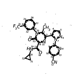 Cc1c(-c2ccnn2-c2ccc(C#N)cn2)nc(C(=O)NC2CC2)c(=O)n1-c1cccc(C(F)(F)F)c1